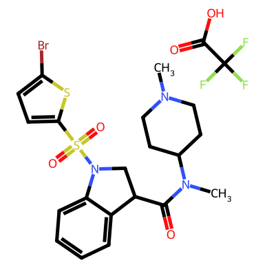 CN1CCC(N(C)C(=O)C2CN(S(=O)(=O)c3ccc(Br)s3)c3ccccc32)CC1.O=C(O)C(F)(F)F